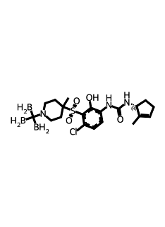 BC(B)(B)N1CCC(C)(S(=O)(=O)c2c(Cl)ccc(NC(=O)N[C@@H]3CCC=C3C)c2O)CC1